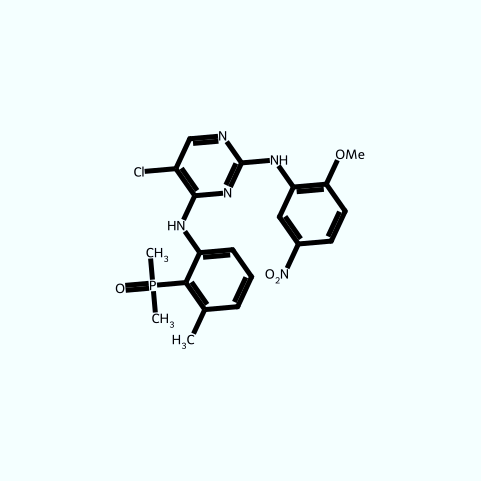 COc1ccc([N+](=O)[O-])cc1Nc1ncc(Cl)c(Nc2cccc(C)c2P(C)(C)=O)n1